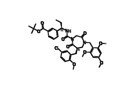 CC[C@@H](NC(=O)N1CC(=O)N(Cc2c(OC)cc(OC)cc2OC)C[C@@H](Cc2cc(Cl)ccc2OC)C1=O)c1cccc(C(=O)OC(C)(C)C)c1